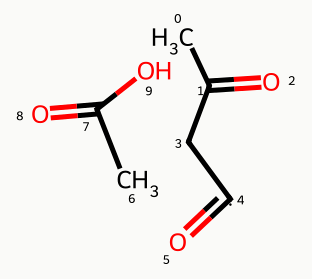 CC(=O)C[C]=O.CC(=O)O